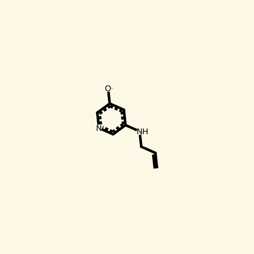 C=CCNc1cncc([O])c1